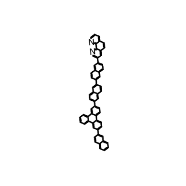 c1ccc2cc(-c3ccc4c5ccc(-c6ccc7cc(-c8ccc9cc(-c%10cnc%11c(ccc%12cccnc%12%11)c%10)ccc9c8)ccc7c6)cc5c5ccccc5c4c3)ccc2c1